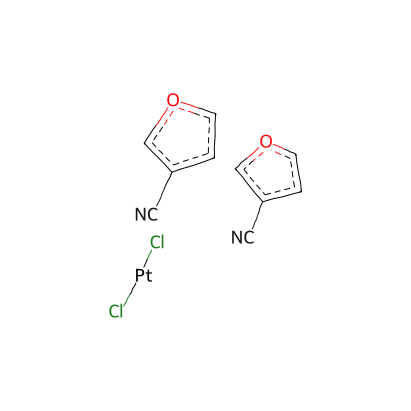 N#Cc1ccoc1.N#Cc1ccoc1.[Cl][Pt][Cl]